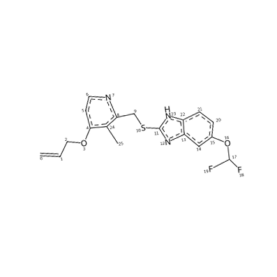 C=CCOc1ccnc(CSc2nc3cc(OC(F)F)ccc3[nH]2)c1C